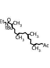 CCN(C(=O)C(C)=CCCC(C)=CCCC(C)=CCCC(C)=CCCC(C)=O)C(C)(C)C